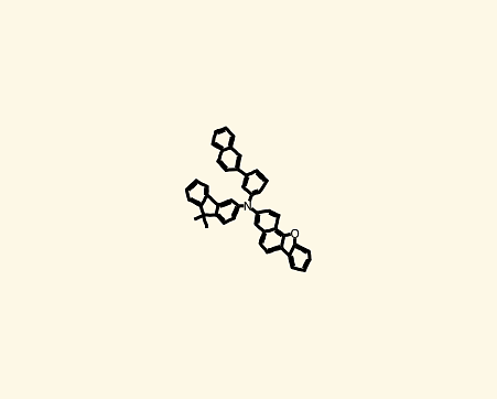 CC1(C)c2ccccc2-c2cc(N(c3cccc(-c4ccc5ccccc5c4)c3)c3ccc4c(ccc5c6ccccc6oc45)c3)ccc21